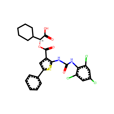 O=C(Nc1sc(-c2ccccc2)cc1C(=O)O[C@@H](C(=O)O)C1CCCCC1)Nc1c(Cl)cc(Cl)cc1Cl